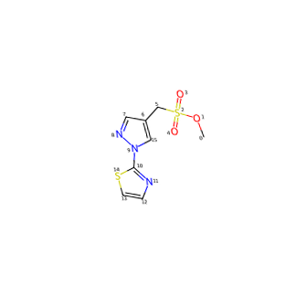 COS(=O)(=O)Cc1cnn(-c2nccs2)c1